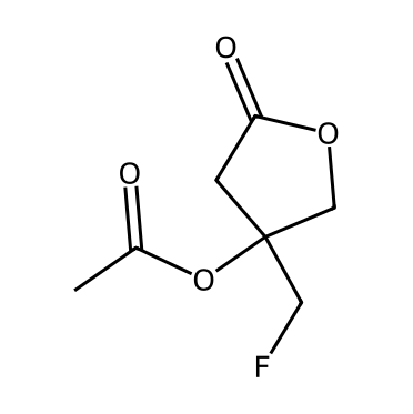 CC(=O)OC1(CF)COC(=O)C1